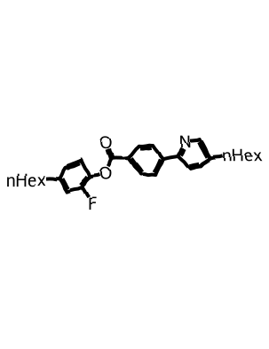 CCCCCCc1ccc(-c2ccc(C(=O)Oc3ccc(CCCCCC)cc3F)cc2)nc1